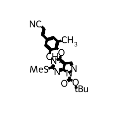 CSc1nc(Oc2c(C)cc(/C=C/C#N)cc2C)c2cnn(C(=O)OC(C)(C)C)c2n1